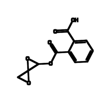 O=C(O)c1ccccc1C(=O)OC1OC12CO2